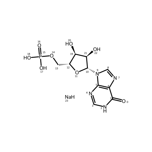 O=c1[nH]cnc2c1ncn2[C@@H]1O[C@H](COP(=O)(O)O)[C@@H](O)[C@H]1O.[NaH]